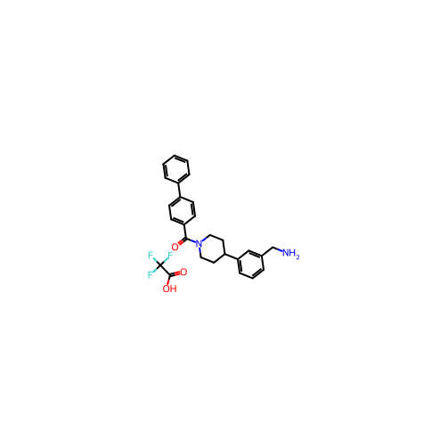 NCc1cccc(C2CCN(C(=O)c3ccc(-c4ccccc4)cc3)CC2)c1.O=C(O)C(F)(F)F